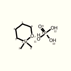 C[Si]1(C)CCCCO1.O=P(O)(O)O